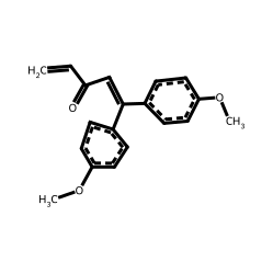 C=CC(=O)C=C(c1ccc(OC)cc1)c1ccc(OC)cc1